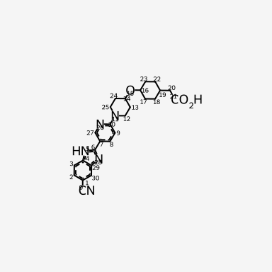 N#Cc1ccc2[nH]c(-c3ccc(N4CCC(OC5CCC(CC(=O)O)CC5)CC4)nc3)nc2c1